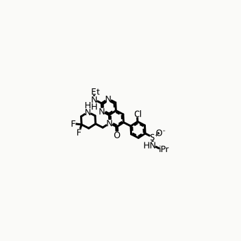 CCNc1ncc2cc(-c3ccc([S+]([O-])NC(C)C)cc3Cl)c(=O)n(CC3CNCC(F)(F)C3)c2n1